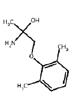 Cc1cccc(C)c1OCC(C)(N)O